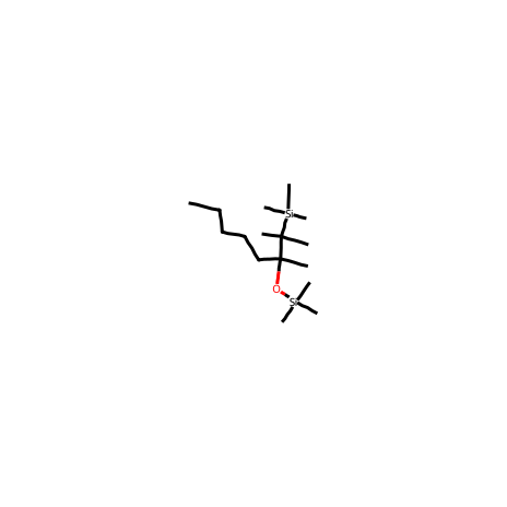 CCCCCC(C)(O[Si](C)(C)C)C(C)(C)[Si](C)(C)C